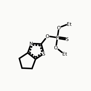 CCOP(=S)(OCC)Oc1nc2c(s1)CCC2